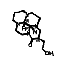 O=C1[C@H](CCO)CN2CCN3CCCN4CCN1[C@@H]2[C@@H]34